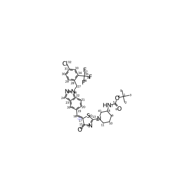 CC(C)(C)OC(=O)NC1CCCN(C2=NC(=O)/C(=C/c3ccc4c(cnn4Cc4ccc(Cl)cc4C(F)(F)F)c3)S2)C1